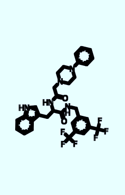 O=C(CN1CCN(c2ccccc2)CC1)NC(Cc1c[nH]c2ccccc12)C(=O)NCc1cc(C(F)(F)F)cc(C(F)(F)F)c1